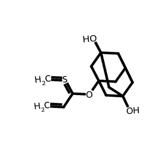 C=CC(OC12CC3CC(O)(CC(O)(C3)C1)C2)=S=C